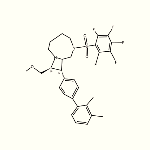 COC[C@@H]1[C@@H](c2ccc(-c3cccc(C)c3C)cc2)C2CN(S(=O)(=O)c3c(F)c(F)c(F)c(F)c3F)CCCCN21